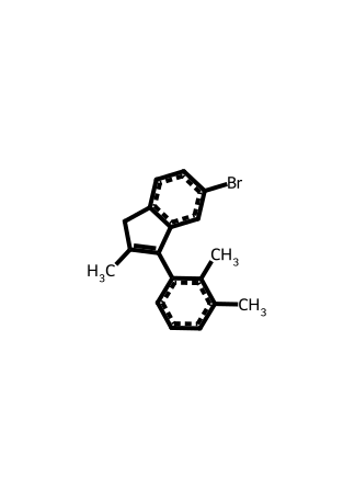 CC1=C(c2cccc(C)c2C)c2cc(Br)ccc2C1